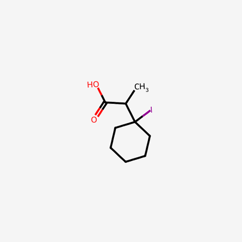 CC(C(=O)O)C1(I)CCCCC1